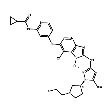 Cn1c(Nc2cc(C(C)(C)C)n([C@H]3CCN(CCF)C3)n2)nc2ncc(Oc3ccnc(NC(=O)C4CC4)c3)c(Cl)c21